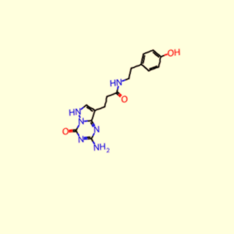 Nc1nc(=O)n2[nH]cc(CCC(=O)NCCc3ccc(O)cc3)c2n1